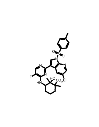 Cc1ccc(S(=O)(=O)n2cc(-c3ncc(F)c(NC4CCCC(C)(C(=O)O)C4(C)O)n3)c3cc(Cl)cnc32)cc1